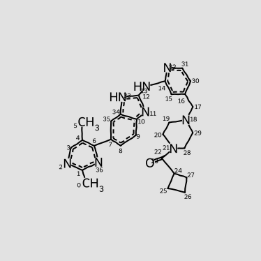 Cc1ncc(C)c(-c2ccc3nc(Nc4cc(CN5CCN(C(=O)C6CCC6)CC5)ccn4)[nH]c3c2)n1